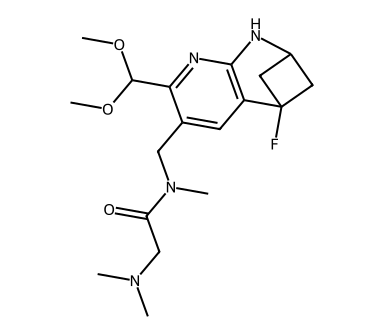 COC(OC)c1nc2c(cc1CN(C)C(=O)CN(C)C)C1(F)CC(C1)N2